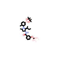 BC(B)Oc1cccc(C(=O)NC2CC(C)N(c3cc(B4OC(C)(C)C(C)(C)O4)ccc3C)/C2=C(\C)CC)c1